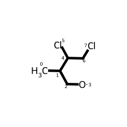 CC(C[O])C(Cl)CCl